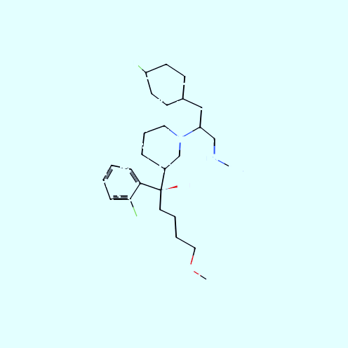 CNCC(CC1CCC(F)CC1)N1CCCC([C@](O)(CCCCOC)c2ccccc2F)C1